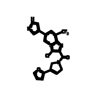 O=C(c1nc2c(C(F)(F)F)cc(-c3cn[nH]c3)cn2c1Cl)N1CC=C(c2ccco2)C1